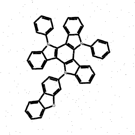 c1ccc(-n2c3ccccc3c3c2c2c4ccccc4n(-c4ccc5c(c4)oc4ccccc45)c2c2c4ccccc4n(-c4ccccc4)c32)cc1